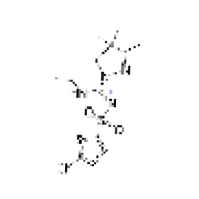 CCN/C(=N\S(=O)(=O)c1ccc(Cl)s1)N1CC(C)(C)C(C)=N1